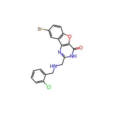 O=c1[nH]c(CNCc2ccccc2Cl)nc2c1oc1ccc(Br)cc12